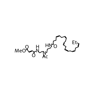 CC/C=C\C/C=C\C/C=C\C/C=C\C/C=C\C/C=C\CCC(=O)NCCCN(CCNC(=O)C=CC(=O)OC)C(C)=O